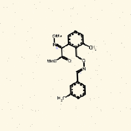 CO/N=C(/C(=O)OC)c1cccc(C)c1CO/N=C/c1cccc(C)c1